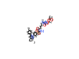 CCC(=O)OC(C)ON=[N+]([O-])N(C)CCCCC(=O)NS(=O)(=O)c1ccc(-n2nc(C(F)(F)F)cc2-c2ccc(C)cc2)cc1